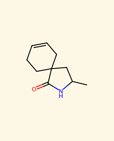 CC1CC2(CC=CCC2)C(=O)N1